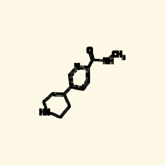 CNC(=O)c1ccc(C2=CCNCC2)cn1